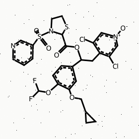 O=C(OC(Cc1c(Cl)c[n+]([O-])cc1Cl)c1ccc(OC(F)F)c(OCC2CC2)c1)C1SCCN1S(=O)(=O)c1cccnc1